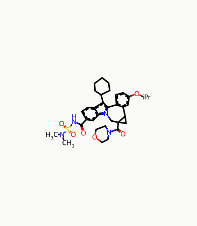 CC(C)Oc1ccc2c(c1)C1CC1(C(=O)N1CCOCC1)Cn1c-2c(C2CCCCC2)c2ccc(C(=O)NS(=O)(=O)N(C)C)cc21